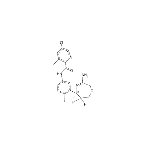 Cc1cc(Cl)cnc1C(=O)Nc1ccc(F)c([C@@]2(C)N=C(N)COCC2(F)F)c1